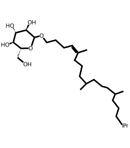 CC(=CCCCOC1O[C@H](CO)[C@@H](O)[C@H](O)[C@H]1O)CCCC(C)CCCC(C)CCCC(C)C